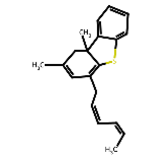 C/C=C\C=C/CC1=C2Sc3ccccc3C2(C)CC(C)=C1